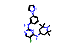 CN1C(C)(C)CC(Nc2nc(Nc3cccc(-n4cccn4)c3)ncc2F)CC1(C)C